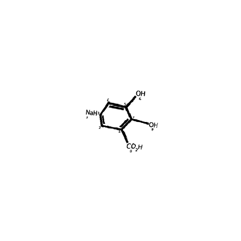 O=C(O)c1cccc(O)c1O.[NaH]